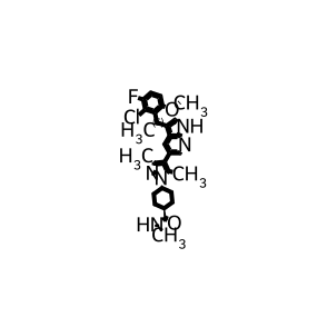 CNC(=O)[C@H]1CC[C@H](n2nc(C)c(-c3cnc4[nH]cc([C@H](C)c5c(OC)ccc(F)c5Cl)c4c3)c2C)CC1